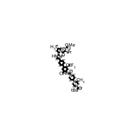 COC(=O)N[C@H](C(=O)N1C[C@@H](C)C[C@H]1c1nc(-c2ccc(-c3cc(Cl)c(NC(=O)N4CCC(N5CCN(C(=O)C(C)(C)C)C[C@@H]5C)CC4)cc3OC(F)(F)F)cc2)c[nH]1)C(C)C